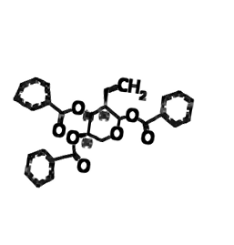 C=C[C@H]1C(OC(=O)c2ccccc2)OC[C@@H](OC(=O)c2ccccc2)[C@@H]1OC(=O)c1ccccc1